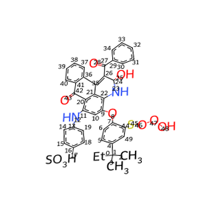 CCC(C)(C)c1ccc(Oc2cc(Nc3ccc(S(=O)(=O)O)cc3)c3c4c2NC(O)C(C(=O)c2ccccc2)=C4c2ccccc2C3=O)c(SOOO)c1